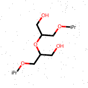 CC(C)OCC(CO)OC(CO)COC(C)C